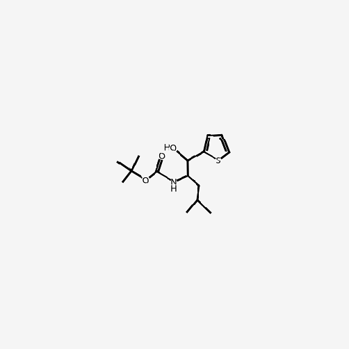 CC(C)CC(NC(=O)OC(C)(C)C)C(O)c1cccs1